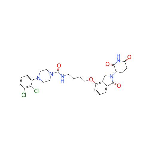 O=C1CCC(N2Cc3c(OCCCCNC(=O)N4CCN(c5cccc(Cl)c5Cl)CC4)cccc3C2=O)C(=O)N1